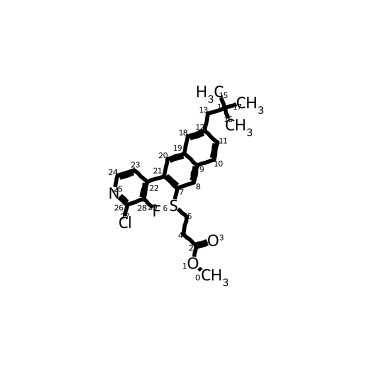 COC(=O)CCSc1cc2ccc(CC(C)(C)C)cc2cc1-c1ccnc(Cl)c1F